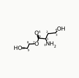 NC(CCO)C(=O)OCCO